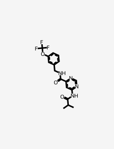 CC(C)C(=O)Nc1cc(C(=O)NCc2cccc(OC(F)(F)F)c2)ncn1